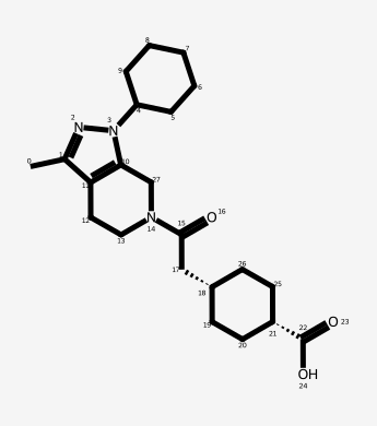 Cc1nn(C2CCCCC2)c2c1CCN(C(=O)C[C@H]1CC[C@@H](C(=O)O)CC1)C2